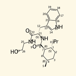 CC(C)[C@@H]1CC[C@@H](C)C[C@H]1C(=O)N[C@@H](Cc1c[nH]c2ccccc12)C(=O)NCCO